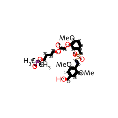 COc1ccc(CS(=O)(=O)/C=C/c2c(OC)cc(CO)cc2OC)cc1OCC(=O)OCCCCOP(C)(C)=O